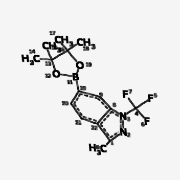 Cc1nn(C(F)(F)F)c2cc(B3OC(C)(C)C(C)(C)O3)ccc12